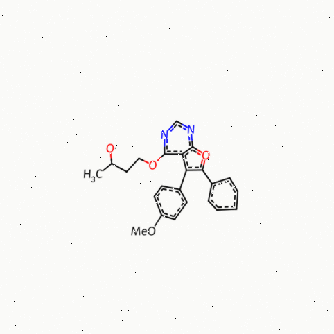 COc1ccc(-c2c(-c3ccccc3)oc3ncnc(OCCC(C)[O])c23)cc1